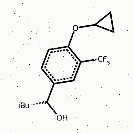 CC[C@@H](C)C(O)c1ccc(OC2CC2)c(C(F)(F)F)c1